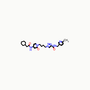 Cc1ccc(CNC(=O)c2cn(CCCCn3ccc(NC(=O)CC4CCCCC4)cc3=O)nn2)cn1